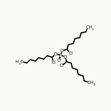 CCCCCCCC(Cl)OP(=O)(OC(Cl)CCCCCCC)OC(Cl)CCCCCCC